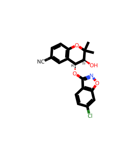 CC1(C)Oc2ccc(C#N)cc2[C@@H](Oc2noc3cc(Cl)ccc23)[C@@H]1O